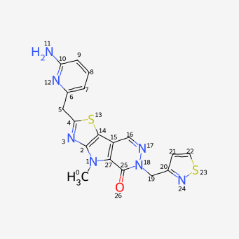 Cn1c2nc(Cc3cccc(N)n3)sc2c2cnn(Cc3ccsn3)c(=O)c21